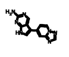 Nc1ncc2c(-c3ccn4ncnc4c3)c[nH]c2n1